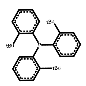 CC(C)(C)c1ccccc1P(c1ccccc1C(C)(C)C)c1ccccc1C(C)(C)C